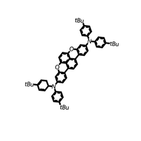 CC(C)(C)C1=CCC(N(c2ccc(C(C)(C)C)cc2)c2ccc3c(c2)Oc2ccc4c5c(ccc-3c25)-c2ccc(N(c3ccc(C(C)(C)C)cc3)c3ccc(C(C)(C)C)cc3)cc2O4)C=C1